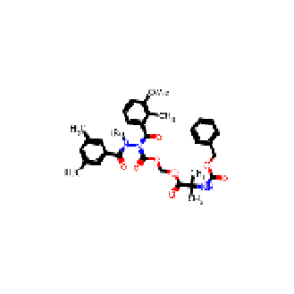 COc1cccc(C(=O)N(C(=O)OCOC(=O)C(C)(C)NC(=O)OCc2ccccc2)N(C(=O)c2cc(C)cc(C)c2)C(C)(C)C)c1C